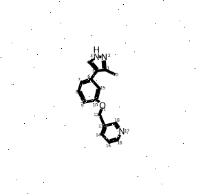 Cc1n[nH]cc1-c1cc[c]c(OCc2cccnc2)c1